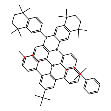 CC(C)c1cc2c3c(c1)N(c1c(-c4ccccc4)cc(C(C)(C)C)cc1-c1ccccc1)c1cc(C(C)(C)c4ccccc4)ccc1B3c1cc3c(cc1N2c1ccc2c(c1)C(C)(C)CCC2(C)C)C(C)(C)CCC3(C)C